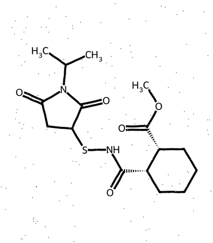 COC(=O)[C@@H]1CCCC[C@@H]1C(=O)NSC1CC(=O)N(C(C)C)C1=O